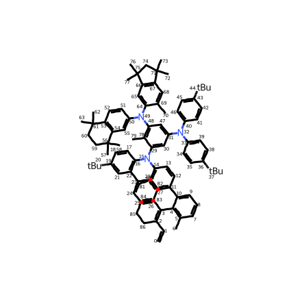 C=CC1=C(c2c(C)cccc2-c2ccc(N(c3ccc(C(C)(C)C)cc3-c3ccccc3)c3cc(N(c4ccc(C(C)(C)C)cc4)c4ccc(C(C)(C)C)cc4)cc(N(c4ccc5c(c4)C(C)(C)CCC5(C)C)c4cc5c(cc4C)C(C)(C)CC5(C)C)c3C)c(C)c2)C=CCC1